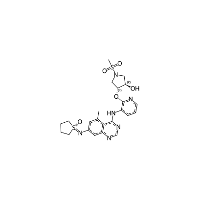 Cc1cc(N=S2(=O)CCCC2)cc2ncnc(Nc3cccnc3O[C@@H]3CN(S(C)(=O)=O)C[C@H]3O)c12